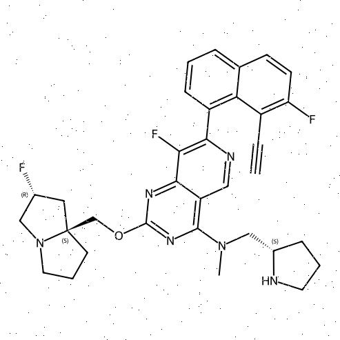 C#Cc1c(F)ccc2cccc(-c3ncc4c(N(C)C[C@@H]5CCCN5)nc(OC[C@@]56CCCN5C[C@H](F)C6)nc4c3F)c12